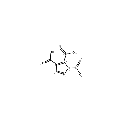 O=C(O)c1nnn([N+](=O)[O-])c1[N+](=O)[O-]